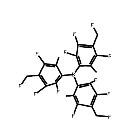 Cc1c(F)c(CF)c(F)c(F)c1B(c1c(C)c(F)c(CF)c(F)c1F)c1c(C)c(F)c(CF)c(F)c1F